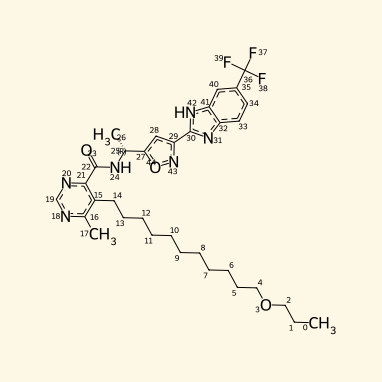 CCCOCCCCCCCCCCCc1c(C)ncnc1C(=O)N[C@H](C)c1cc(-c2nc3ccc(C(F)(F)F)cc3[nH]2)no1